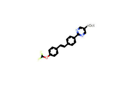 CCCCCCCCc1cnc(-c2ccc(C=Cc3ccc(OC(F)F)cc3)cc2)nc1